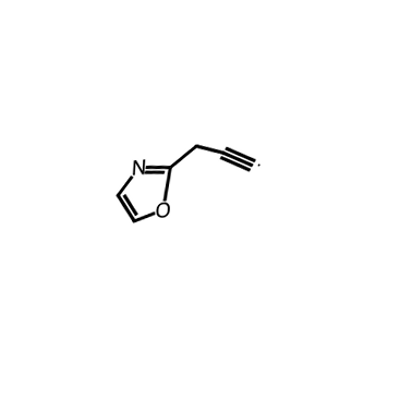 [C]#CCc1ncco1